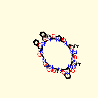 CC(C)C[C@H]1C(=O)N2CCC[C@H]2C(=O)N(C)[C@@H](CC(C)C)C(=O)N[C@@H](C)C(=O)N(C)[C@@H](C(C)C)C(=O)N[C@H](C(=O)N2CCCCC2)CC(=O)N(C)[C@@H](C)C(=O)N[C@@H]([C@@H](C)O)C(=O)N(C)CC(=O)N(C)[C@@H](Cc2ccccc2)C(=O)N(C)[C@@H](Cc2ccccc2)C(=O)N1C